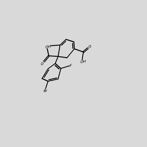 CC1=CC=C(C(=O)O)CC1(C(=O)O)c1ccc(Br)cc1F